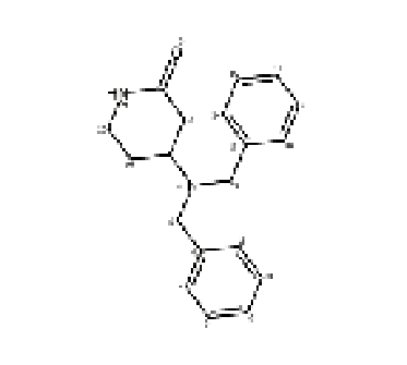 O=C1CC(N(Cc2ccccc2)Cc2ccccc2)CCN1